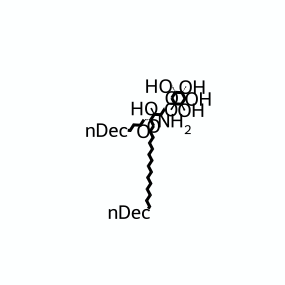 CCCCCCCCCCCCCCCCCCCCCCCC(=O)O[C@H](CCCCCCCCCCCCCC)[C@@H](O)[C@@H](N)CO[C@H]1O[C@H](CO)[C@H](O)[C@H](O)[C@H]1O